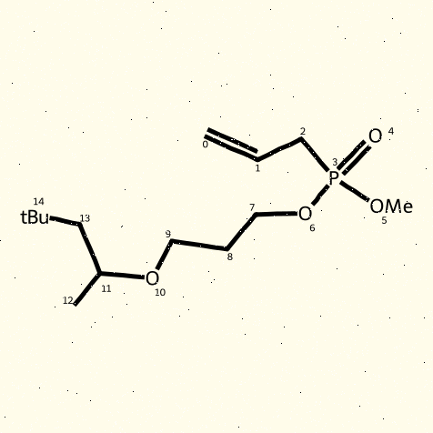 C=CCP(=O)(OC)OCCCOC(C)CC(C)(C)C